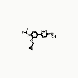 N#CNc1ccc(-c2ccc(OC(F)F)c(OCC3CC3)c2)nn1